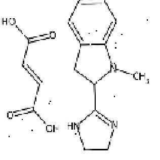 CN1c2ccccc2CC1C1=NCCN1.O=C(O)C=CC(=O)O